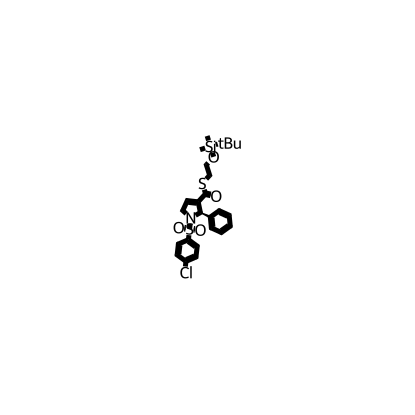 CC(C)(C)[Si](C)(C)OCCSC(=O)C1=CCN(S(=O)(=O)c2ccc(Cl)cc2)[C@@H]1c1ccccc1